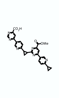 COC(=O)c1cc(-c2ccc(C3CC3)nc2)nc(C2CC2c2ccc(-c3cc(C(=O)O)ncn3)cn2)n1